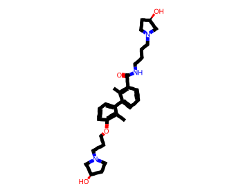 Cc1c(OCCCN2CC[C@@H](O)C2)cccc1-c1cccc(C(=O)NCCCCN2CC[C@@H](O)C2)c1C